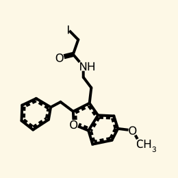 COc1ccc2oc(Cc3ccccc3)c(CCNC(=O)CI)c2c1